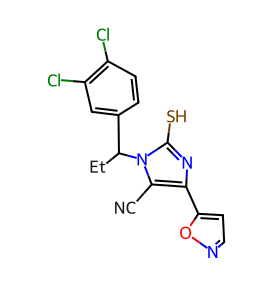 CCC(c1ccc(Cl)c(Cl)c1)n1c(S)nc(-c2ccno2)c1C#N